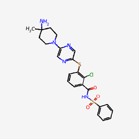 CC1(N)CCN(c2cnc(Sc3cccc(C(=O)NS(=O)(=O)c4ccccc4)c3Cl)cn2)CC1